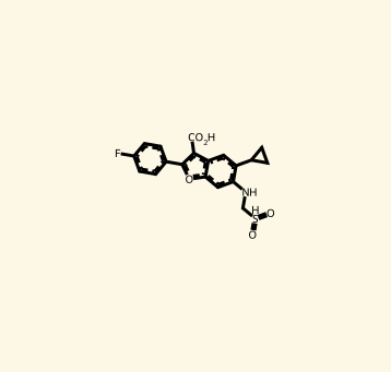 O=C(O)c1c(-c2ccc(F)cc2)oc2cc(NC[SH](=O)=O)c(C3CC3)cc12